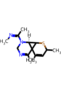 C/N=C(/C)N1CN=C(C)C23C(C)=CC(C)SC2[C@H]13